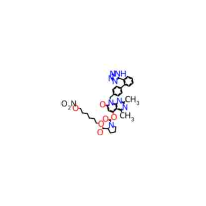 Cc1nc(C)c2c(OC(=O)N3CCCC3C(=O)OCCCCCCO[N+](=O)[O-])cc(=O)n(Cc3ccc(-c4ccccc4-c4nnn[nH]4)cc3)c2n1